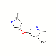 COc1cc(O[C@H]2CN[C@@H](C)C2)cnc1C